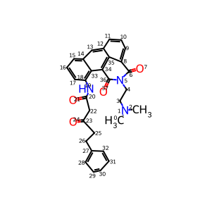 CN(C)CCN1C(=O)c2cccc3cc4cccc(NC(=O)CC(=O)CCc5ccccc5)c4c(c23)C1=O